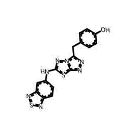 Oc1ccc(Cc2nnc3sc(Nc4ccc5nsnc5c4)nn23)cc1